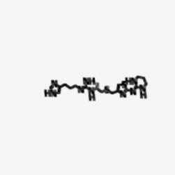 N/C(=N\CCCc1c[nH]cn1)NCCSCc1csc(N=C2NCCCN2)n1